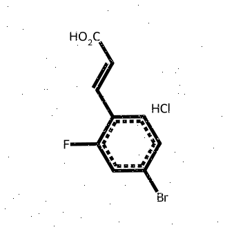 Cl.O=C(O)C=Cc1ccc(Br)cc1F